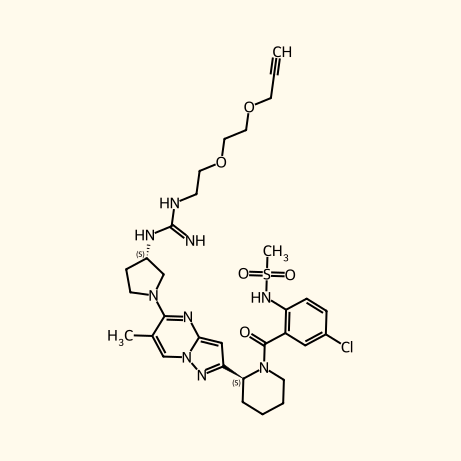 C#CCOCCOCCNC(=N)N[C@H]1CCN(c2nc3cc([C@@H]4CCCCN4C(=O)c4cc(Cl)ccc4NS(C)(=O)=O)nn3cc2C)C1